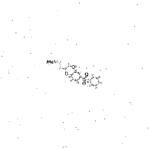 CNCCC1COc2cc(S(=O)(=O)c3ccccc3)ccc2O1